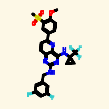 COc1ccc(-c2ccc3nc(NCc4cc(F)cc(F)c4)nc(NC4(C(F)(F)F)CC4)c3n2)cc1S(C)(=O)=O